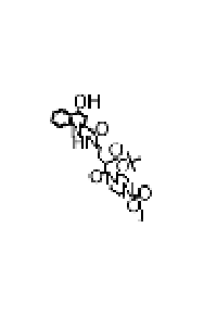 CCOC(=O)N1CCN(C(=O)C(CCNC(=O)c2cc(O)c3ccccc3n2)C(=O)OC(C)(C)C)CC1